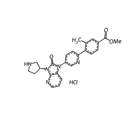 COC(=O)c1ccc(-c2ccc(-n3c(=O)n([C@H]4CCNC4)c4ncccc43)cn2)c(C)c1.Cl